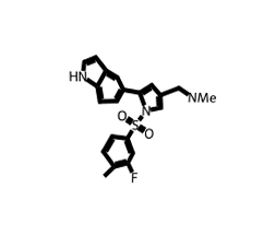 CNCc1cc(-c2ccc3[nH]ccc3c2)n(S(=O)(=O)c2ccc(C)c(F)c2)c1